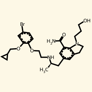 C[C@H](Cc1cc2c(c(C(N)=O)c1)N(CCCO)CC2)NCCOc1ccc(Br)cc1OCC1CC1